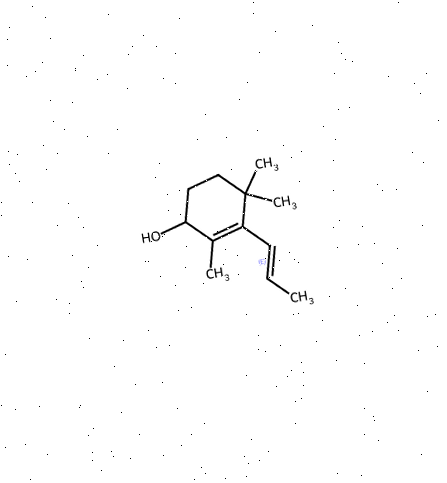 C/C=C/C1=C(C)C(O)CCC1(C)C